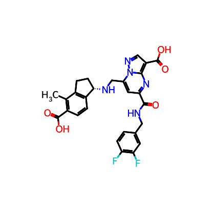 Cc1c(C(=O)O)ccc2c1CC[C@@H]2NCc1cc(C(=O)NCc2ccc(F)c(F)c2)nc2c(C(=O)O)cnn12